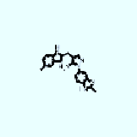 Cc1ccc2[nH]c(Cc3cnn(-c4ccc5[nH]c(C)nc5c4)c3N)cc2c1